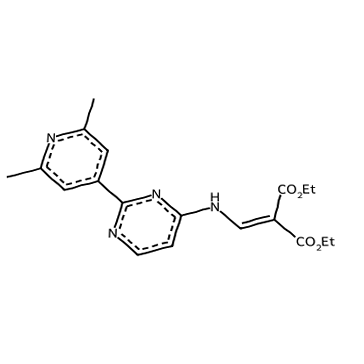 CCOC(=O)C(=CNc1ccnc(-c2cc(C)nc(C)c2)n1)C(=O)OCC